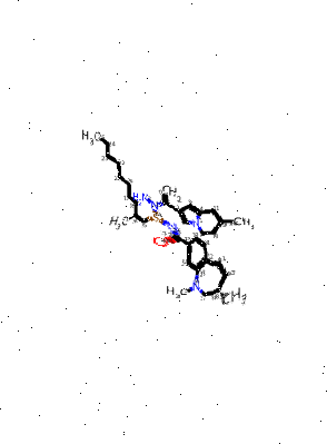 C=C(c1cc2n(c1)CCC(C)C2)N(N)/S(C[C@@H](C)C/C=C/CCCCC)=N/C(=O)c1ccc2c(c1)N(C)C[C@@H](C)CC2